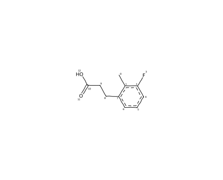 Cc1c(F)cccc1CCC(=O)O